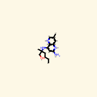 CCCCC(C)(CO)Nc1cc(N)nc2cc(C)cnc12